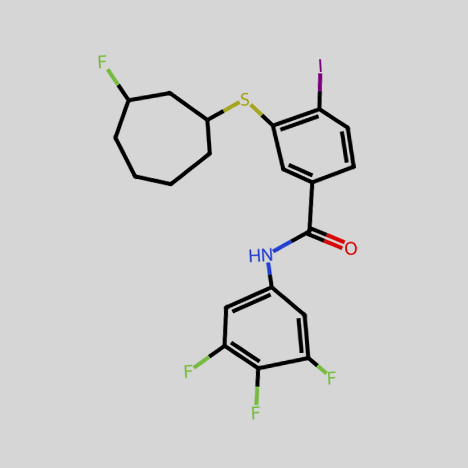 O=C(Nc1cc(F)c(F)c(F)c1)c1ccc(I)c(SC2CCCCC(F)C2)c1